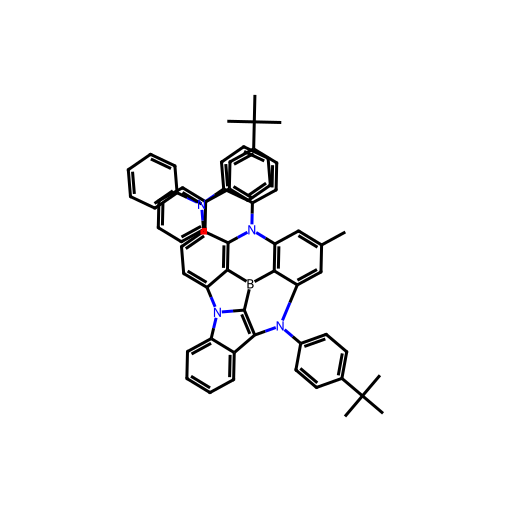 Cc1cc2c3c(c1)N(c1ccc(C(C)(C)C)cc1)c1c4n(c5ccccc15)-c1ccc(N(c5ccccc5)c5ccccc5)c(c1B34)N2c1ccc(C(C)(C)C)cc1-c1ccccc1